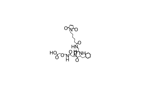 O=C(O)COCNC(=O)CNC(=O)C(Cc1ccccc1)NC(=O)CNC(=O)CCCCCN1C(=O)C=CC1=O